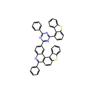 c1ccc(-c2nc(-c3ccc4nc(-c5ccccc5)c5ccc6sc7ccccc7c6c5c4c3)nc(-c3cccc4sc5ccccc5c34)n2)cc1